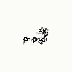 CCC(c1nc(-c2cc3c(Nc4ccc(OCc5cccc(F)c5)c(Br)c4)ncnc3cn2)cs1)N(CC)S(=O)(=O)C(C)C